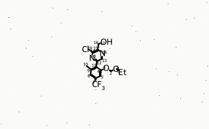 CCOCOc1cc(C(F)(F)F)cc(C)c1-c1cnc(CO)c(Cl)n1